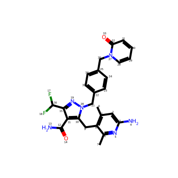 Cc1cc(N)nc(C)c1Cc1c(C(N)=O)c(C(F)F)nn1Cc1ccc(Cn2ccccc2=O)cc1